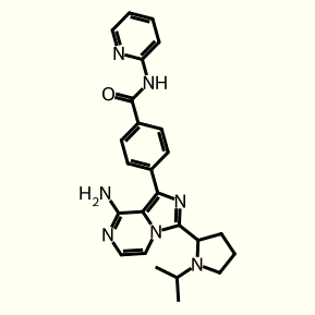 CC(C)N1CCCC1c1nc(-c2ccc(C(=O)Nc3ccccn3)cc2)c2c(N)nccn12